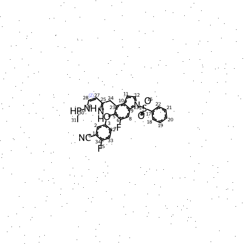 N#Cc1cc(Oc2c(F)cc3c(ccn3S(=O)(=O)c3ccccc3)c2CC(=N)/C=C\NPI)ccc1F